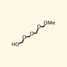 COCOCOCOCO